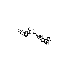 Cc1nc2c(c3c1CC(CNCCC1CN(c4ccc5c(n4)NC(=O)CO5)C(=O)O1)C3)CCN2